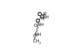 C=CCONCCCCC(=O)Nc1cccc(-c2n[nH]c(=O)c3ccccc23)c1